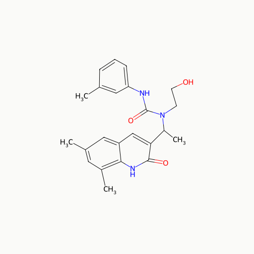 Cc1cccc(NC(=O)N(CCO)C(C)c2cc3cc(C)cc(C)c3[nH]c2=O)c1